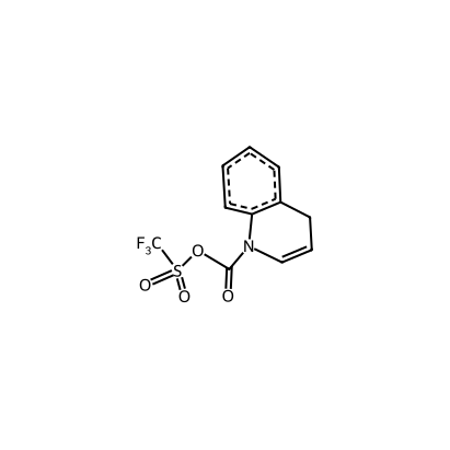 O=C(OS(=O)(=O)C(F)(F)F)N1C=CCc2ccccc21